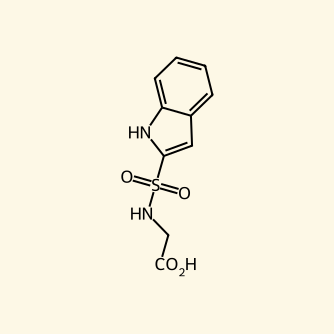 O=C(O)CNS(=O)(=O)c1cc2ccccc2[nH]1